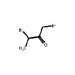 CC(Br)C(=O)CBr